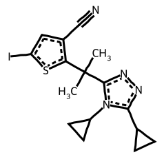 CC(C)(c1sc(I)cc1C#N)c1nnc(C2CC2)n1C1CC1